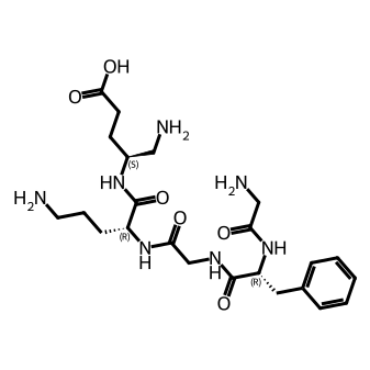 NCCC[C@@H](NC(=O)CNC(=O)[C@@H](Cc1ccccc1)NC(=O)CN)C(=O)N[C@H](CN)CCC(=O)O